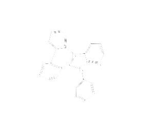 c1ccc(-c2ccccc2-[n+]2cn(-c3ccccc3)c3ncccc32)cc1